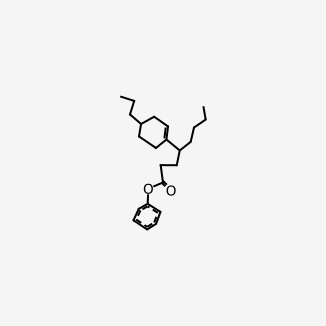 CCCCC(CCC(=O)Oc1ccccc1)C1=CCC(CCC)CC1